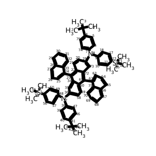 CC(C)(C)c1ccc(N(c2ccc([Si](C)(C)C)cc2)c2ccc3c(-c4cccc5ccccc45)c4cc(N(c5ccc(C(C)(C)C)cc5)c5ccc([Si](C)(C)C)cc5)ccc4c(-c4cccc5ccccc45)c3c2)cc1